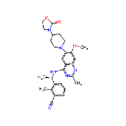 COc1cc2nc(C)nc(N[C@H](C)c3cccc(C#N)c3C)c2cc1N1CCC(N2CCOC2=O)CC1